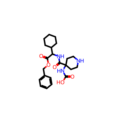 O=C(O)NC1(C(=O)NC(C(=O)OCc2ccccc2)C2CCCCC2)CCNCC1